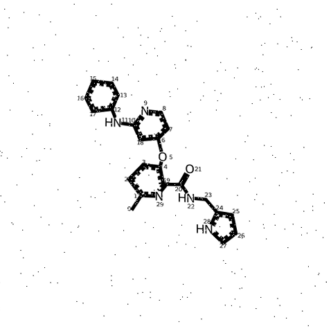 Cc1ccc(Oc2ccnc(Nc3ccccc3)c2)c(C(=O)NCc2ccc[nH]2)n1